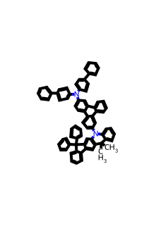 CC1(C)c2ccccc2N(c2ccc3c4ccc(N(c5ccc(-c6ccccc6)cc5)c5ccc(-c6ccccc6)cc5)cc4c4ccccc4c3c2)c2cc3c(cc21)-c1ccccc1C3(c1ccccc1)c1ccccc1